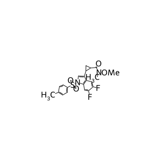 CON(C)C(=O)C1CC1c1cn(S(=O)(=O)c2ccc(C)cc2)c2cc(F)c(F)cc12